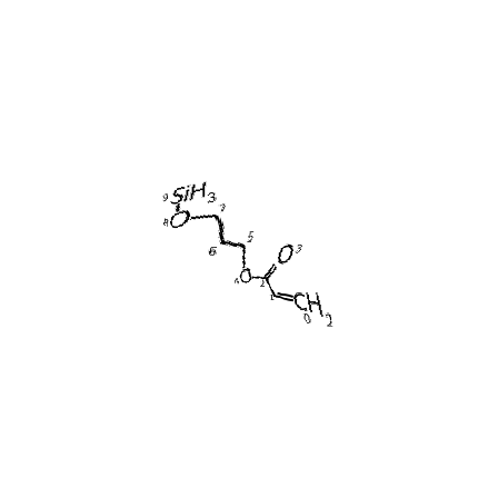 C=CC(=O)OCCCO[SiH3]